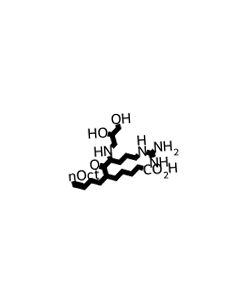 CCCCCCCC/C=C\CCC(CCCCC(=O)O)C(=O)C(CCCNC(=N)N)NCC(O)CO